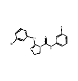 S=C(Nc1cccc(Br)c1)N1CCN=C1Nc1cccc(Br)c1